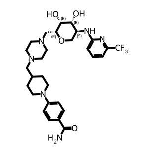 NC(=O)c1ccc(N2CCC(CN3CCN(C[C@H]4OC[C@H](Nc5cccc(C(F)(F)F)n5)[C@@H](O)[C@H]4O)CC3)CC2)cc1